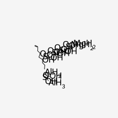 C=CCCCCCC[CH2][AlH2].O=[Si](O)O.O=[Si](O)O.O=[Si](O)O.O=[Si](O)O.O=[Si](O)O.[AlH3].[MgH2].[MgH2]